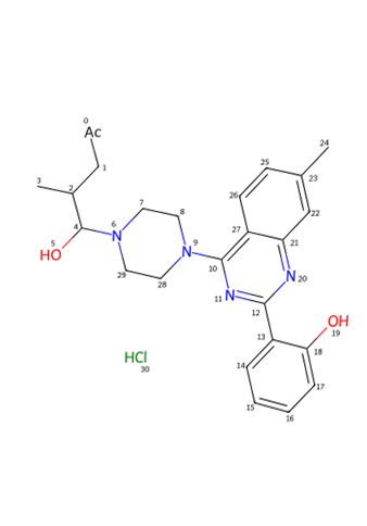 CC(=O)CC(C)C(O)N1CCN(c2nc(-c3ccccc3O)nc3cc(C)ccc23)CC1.Cl